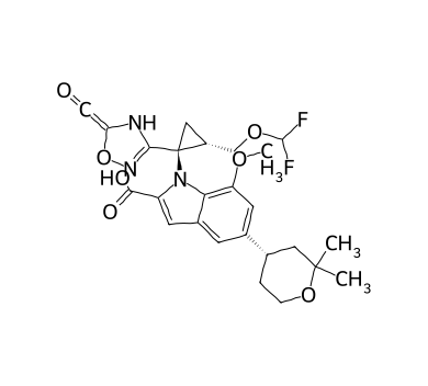 COc1cc([C@H]2CCOC(C)(C)C2)cc2cc(C(=O)O)n([C@@]3(C4=NOC(=C=O)N4)C[C@@H]3COC(F)F)c12